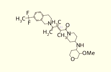 C=C(/C(C)=C(\C)C(=O)N1CCC(NC2CCOCC2OC)CC1)N1CCc2ccc(C(C)(F)F)cc2C1